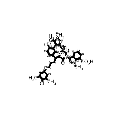 Cc1cc(OCCCc2c3n(c4c(-c5c(C)nn(C)c5C)c(Cl)ccc24)C(C)CN(c2nn(C)c4c(C(=O)O)cccc24)C3=O)cc(C)c1Cl